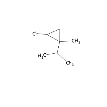 CC(C(F)(F)F)C1(C)CC1Cl